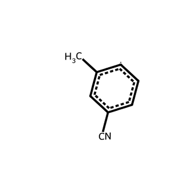 Cc1[c]ccc(C#N)c1